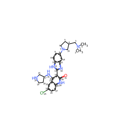 CN(C)CC1CCN(c2ccc3[nH]c(-c4c(N[C@H]5CCNC5)c5cc(Cl)ccc5[nH]c4=O)nc3c2)C1